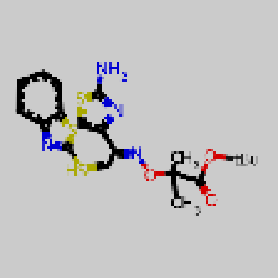 CC(C)(C)OC(=O)C(C)(C)O/N=C(\C=[SH]/c1nc2ccccc2s1)c1csc(N)n1